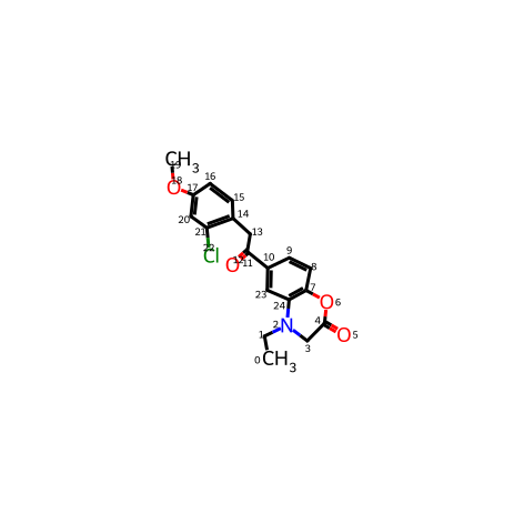 CCN1CC(=O)Oc2ccc(C(=O)Cc3ccc(OC)cc3Cl)cc21